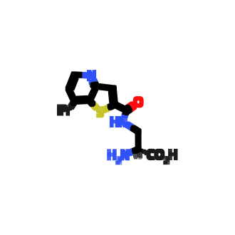 CC(C)c1ccnc2cc(C(=O)NC[C@@H](N)C(=O)O)sc12